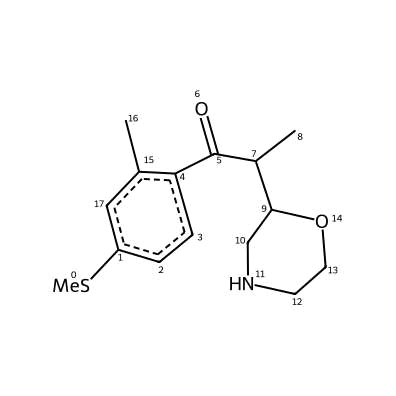 CSc1ccc(C(=O)C(C)C2CNCCO2)c(C)c1